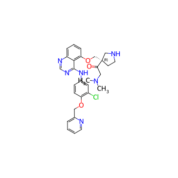 CN(C)CC(=O)[C@]1(COc2cccc3ncnc(Nc4ccc(OCc5ccccn5)c(Cl)c4)c23)CCNC1